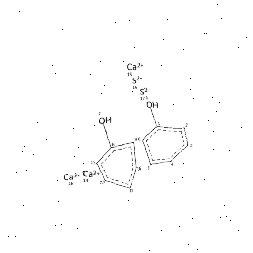 Oc1ccccc1.Oc1ccccc1.[Ca+2].[Ca+2].[Ca+2].[S-2].[S-2]